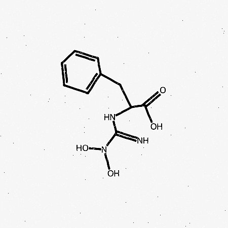 N=C(NC(Cc1ccccc1)C(=O)O)N(O)O